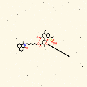 C#CC#CC#CC#CC#CC#COC(=O)C(CC(CC(CC)c1ccc(C(C)S(=O)(=S)OO)cc1)C(=O)OC)CC(CC)C(=O)OCCCCCCn1c(=C)c2cccc3cccc(c1=O)c32